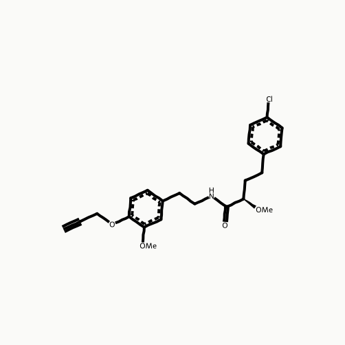 C#CCOc1ccc(CCNC(=O)[C@@H](CCc2ccc(Cl)cc2)OC)cc1OC